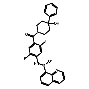 O=C(c1cc(F)c(N[S+]([O-])c2cccc3cccnc23)cc1F)N1CCC(O)(c2ccccc2)CC1